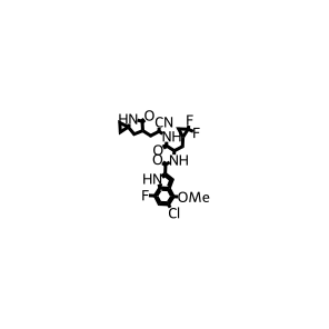 COc1c(Cl)cc(F)c2[nH]c(C(=O)NC(CC3CC3(F)F)C(=O)NC(C#N)CC3CC4(CC4)NC3=O)cc12